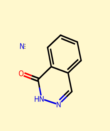 O=c1[nH]ncc2ccccc12.[N]